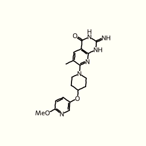 COc1ccc(OC2CCN(c3nc4[nH]c(=N)[nH]c(=O)c4cc3C)CC2)cn1